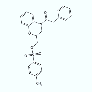 Cc1ccc(S(=O)(=O)OCC2CN(C(=O)Cc3ccccc3)c3ccccc3O2)cc1